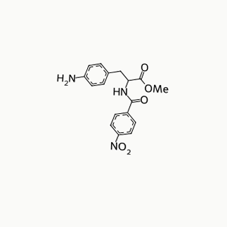 COC(=O)C(Cc1ccc(N)cc1)NC(=O)c1ccc([N+](=O)[O-])cc1